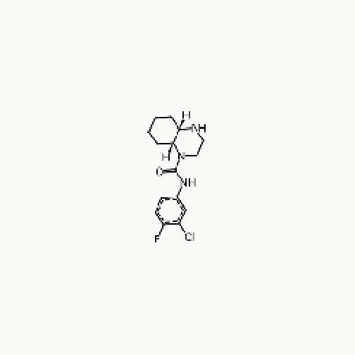 O=C(Nc1ccc(F)c(Cl)c1)N1CCN[C@H]2CCCC[C@H]21